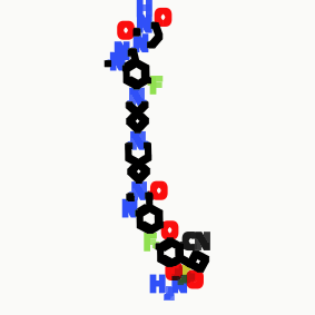 Cn1nc(N2CCC(=O)NC2=O)c2cc(F)c(N3CC4(CC(N5CCC6(CC5)CC(n5cnc7ccc(Oc8c(F)ccc(C9(S(N)(=O)=O)CCC9)c8C#N)cc7c5=O)C6)C4)C3)cc21